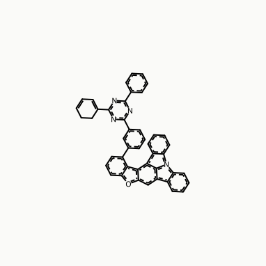 C1=CCCC(c2nc(-c3ccccc3)nc(-c3cccc(-c4cccc5oc6cc7c8ccccc8n8c9ccccc9c(c6c45)c78)c3)n2)=C1